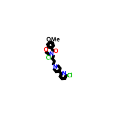 COc1ccc2c(c1)OC=C(Cl)N(CCCCN1CC=C(c3cccc(Cl)n3)CC1)C2=O